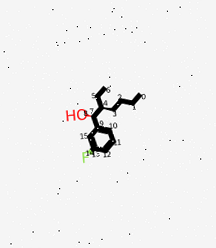 CCCC[C@H](CC)[C@@H](O)c1cccc(F)c1